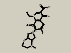 CCn1cc(C(=O)O)c(=O)c2cc(F)c(N3CC4OCCN(C)C4C3)c(F)c21